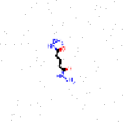 NNC(=O)CCCC(=O)NN